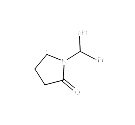 CCCC(C(C)C)N1CCCC1=O